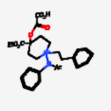 CCOC(=O)C1(OC(=O)C(=O)O)CC[N+](CCc2ccccc2)(N(C(C)=O)c2ccccc2)CC1